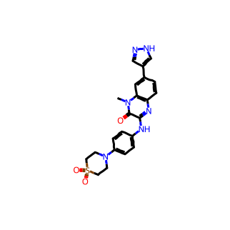 Cn1c(=O)c(Nc2ccc(N3CCS(=O)(=O)CC3)cc2)nc2ccc(-c3cn[nH]c3)cc21